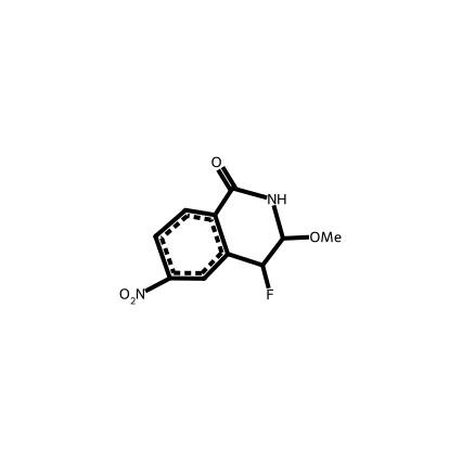 COC1NC(=O)c2ccc([N+](=O)[O-])cc2C1F